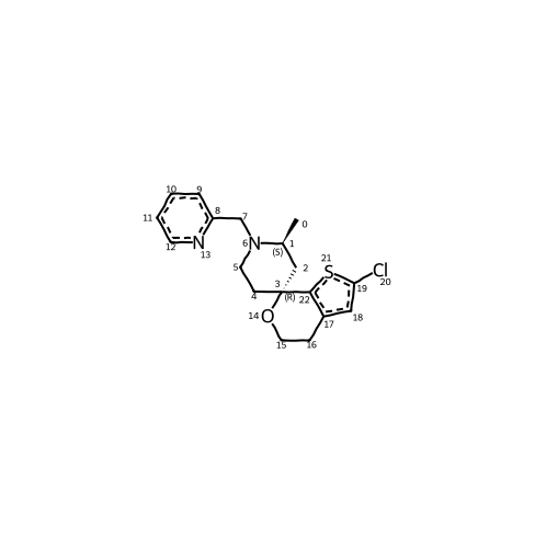 C[C@H]1C[C@@]2(CCN1Cc1ccccn1)OCCc1cc(Cl)sc12